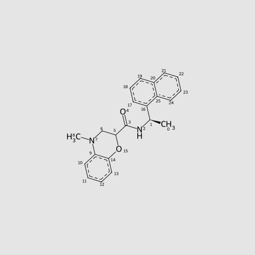 C[C@@H](NC(=O)C1CN(C)c2ccccc2O1)c1cccc2ccccc12